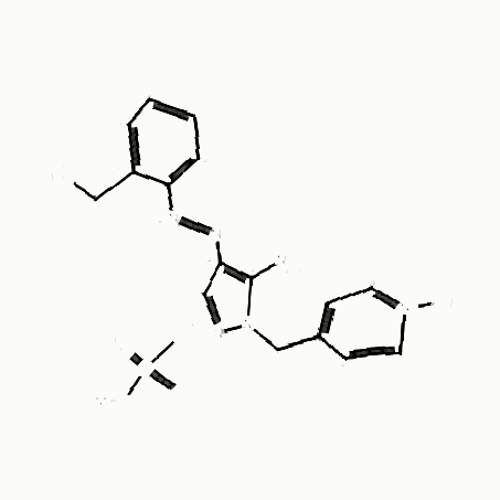 COS(=O)(=O)[O-].C[n+]1ccc(Cn2ncc(/N=N/c3ccccc3CO)c2N)cc1